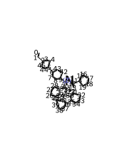 C=Cc1ccc(-c2ccc(/C(=N/C(=C)c3ccccc3)C3=C(C)C4(c5ccccc53)c3ccccc3-c3ccccc34)cc2)cc1